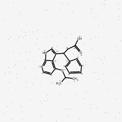 CC(C)Oc1ccnc2[nH]cc(C(CC(=O)O)c3ccccc3)c12